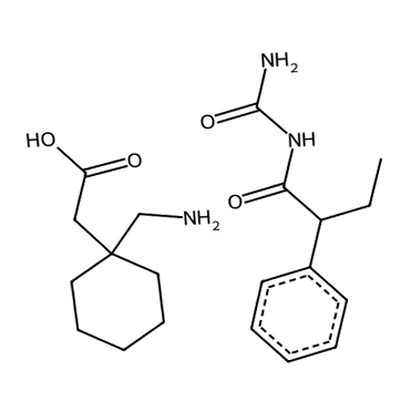 CCC(C(=O)NC(N)=O)c1ccccc1.NCC1(CC(=O)O)CCCCC1